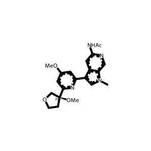 COc1cc(-c2cn(C)c3cnc(NC(C)=O)cc23)nc([C@]2(OC)CCOC2)c1